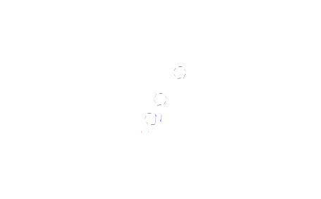 CCCCOc1ccc(-c2ccc(CCc3ccc(CCC)cc3)cc2)nc1